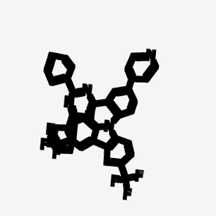 FC(F)(F)c1ccc2c(c1)c1cc(C(F)(F)F)ccc1n2-c1ccc(-c2ccncc2)cc1-c1nc(-c2ccccc2)nc(-c2ccccc2)n1